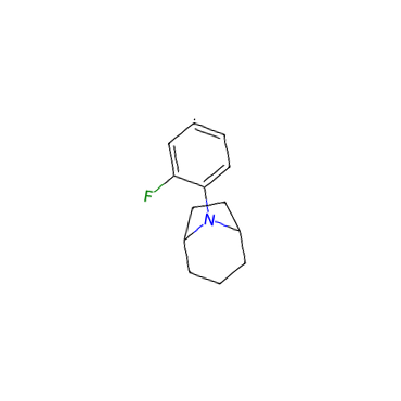 Fc1c[c]ccc1N1C2CCCC1CC2